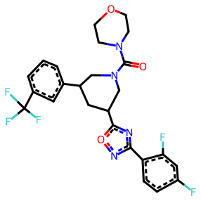 O=C(N1CCOCC1)N1CC(c2cccc(C(F)(F)F)c2)CC(c2nc(-c3ccc(F)cc3F)no2)C1